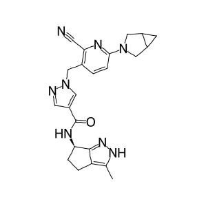 Cc1[nH]nc2c1CC[C@H]2NC(=O)c1cnn(Cc2ccc(N3CC4CC4C3)nc2C#N)c1